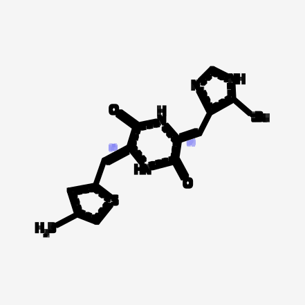 Bc1csc(/C=c2\[nH]c(=O)/c(=C/c3nc[nH]c3C(C)(C)C)[nH]c2=O)c1